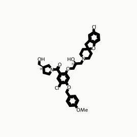 COc1ccc(COc2cc(OC[C@@H](O)CN3CCC4(CC3)Cc3cc(Cl)ccc3O4)c(C(=O)N3CC[C@@H](CO)C3)cc2Cl)cc1